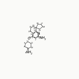 Nc1cc(O[C@H]2CC[C@H](N)CC2)c2c(n1)C1(CCCC1)CCC2